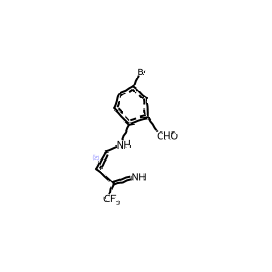 N=C(/C=C\Nc1ccc(Br)cc1C=O)C(F)(F)F